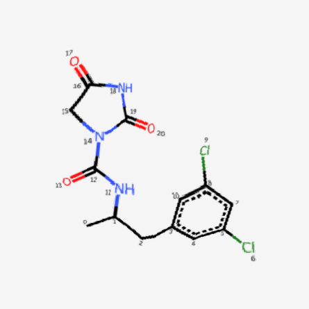 CC(Cc1cc(Cl)cc(Cl)c1)NC(=O)N1CC(=O)NC1=O